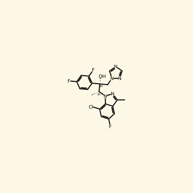 Cc1nn([C@H](C)[C@](O)(Cn2cncn2)c2ccc(F)cc2F)c2c(Cl)cc(F)cc12